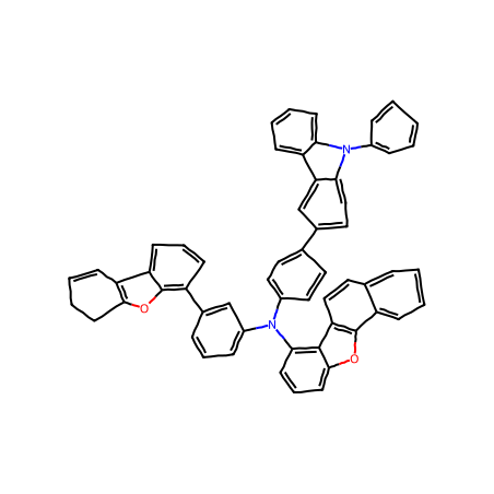 C1=Cc2c(oc3c(-c4cccc(N(c5ccc(-c6ccc7c(c6)c6ccccc6n7-c6ccccc6)cc5)c5cccc6oc7c8ccccc8ccc7c56)c4)cccc23)CC1